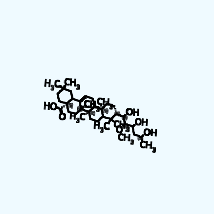 CO[C@H](C(O)C[C@H](C)O)[C@H](O)[C@H]1CC[C@@]2(C)C(CC[C@]3(C)C2CC=C2C4CC(C)(C)CC[C@]4(C(=O)O)CC[C@]23C)C1(C)C